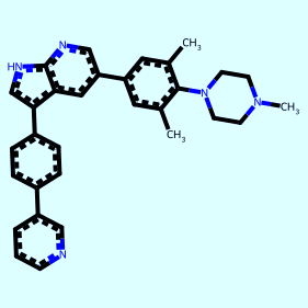 Cc1cc(-c2cnc3[nH]cc(-c4ccc(-c5cccnc5)cc4)c3c2)cc(C)c1N1CCN(C)CC1